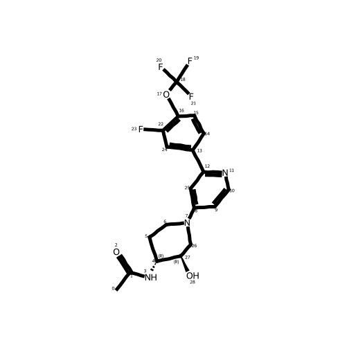 CC(=O)N[C@@H]1CCN(c2ccnc(-c3ccc(OC(F)(F)F)c(F)c3)c2)C[C@H]1O